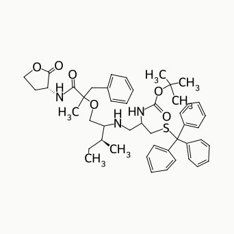 CC[C@H](C)C(COC(C)(Cc1ccccc1)C(=O)N[C@@H]1CCOC1=O)NCC(CSC(c1ccccc1)(c1ccccc1)c1ccccc1)NC(=O)OC(C)(C)C